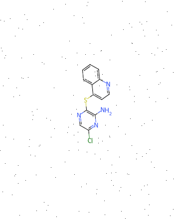 Nc1nc(Cl)cnc1Sc1ccnc2ccccc12